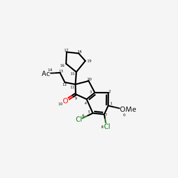 COc1cc2c(c(Cl)c1Cl)C(=O)C(CCC(C)=O)(C1CCCC1)C2